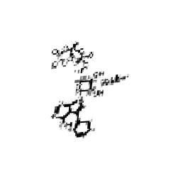 Nc1ncnc2c1c(-c1ccccc1)cn2[C@@H]1O[C@H](COP(=O)([O-])OP(=O)([O-])OP(=O)([O-])[O-])[C@@H](O)[C@H]1O.[Na+].[Na+].[Na+].[Na+]